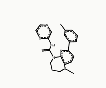 C=C(Nc1cnccn1)N1CCCN(C)c2ccc(-c3cccc(C)c3)nc21